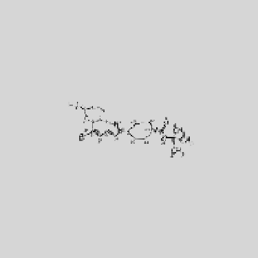 CC(C)Oc1cc2nn(C3CCN(C(=O)OC(C)(C)C)CC3)cc2cc1Br